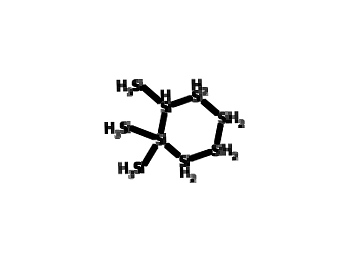 [SiH3][SiH]1[SiH2][SiH2][SiH2][SiH2][Si]1([SiH3])[SiH3]